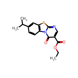 CCOC(=O)c1cnc2sc3cc(C(C)C)ccc3n2c1=O